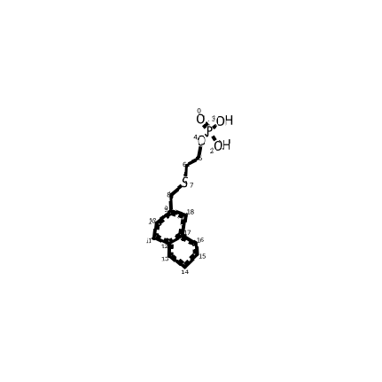 O=P(O)(O)OCCSCc1ccc2ccccc2c1